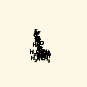 CN1C(N)=NC(C)(c2nc(NC(=O)c3ccc(OC(F)F)cn3)cs2)C(C)(C)S1(O)O